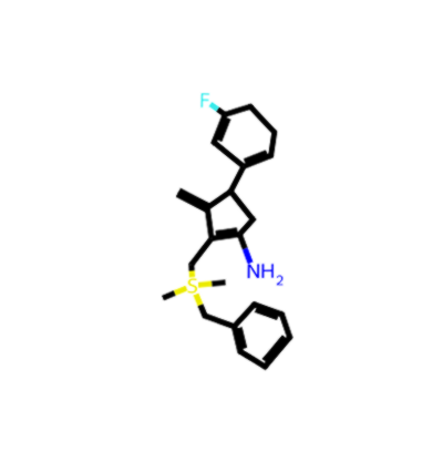 C=C1C(CS(C)(C)Cc2ccccc2)=C(N)CC1C1=CCCC(F)=C1